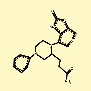 NC(=O)CCC1CN(c2ccccc2)CCN1c1cccc2oc(=O)[nH]c12